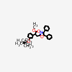 COC(=O)C(Cc1nc(-c2ccccc2)c(-c2ccccc2)o1)c1cccc(O[Si](C)(C)C(C)(C)C)c1